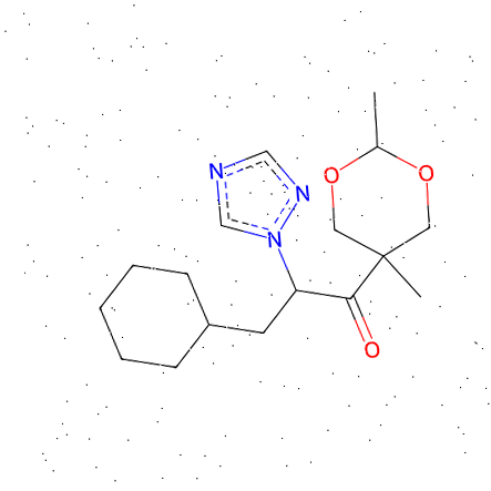 CC1OCC(C)(C(=O)C(CC2CCCCC2)n2cncn2)CO1